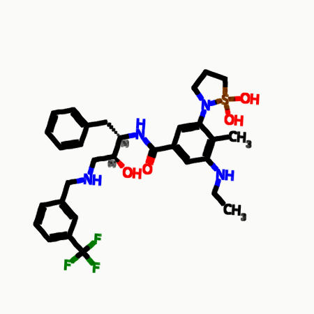 CCNc1cc(C(=O)N[C@@H](Cc2ccccc2)[C@@H](O)CNCc2cccc(C(F)(F)F)c2)cc(N2CCCS2(O)O)c1C